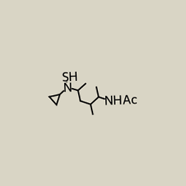 CC(=O)NC(C)C(C)CC(C)N(S)C1CC1